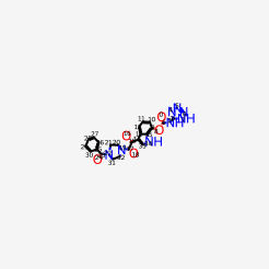 O=C(Nc1nnn[nH]1)Oc1cccc2c(C(=O)C(=O)N3CCN(C(=O)c4ccccc4)CC3)c[nH]c12